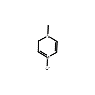 CN1C=C[N+]([O-])=CC1